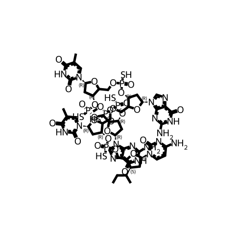 CCC(C)[C@@H]1C[C@H](n2ccc(N)nc2=O)OC1COP(=O)(S)O[C@@H]1C[C@H](n2cc(C)c(=O)[nH]c2=O)OC1COP(=O)(S)O[C@@H]1C[C@H](n2cnc3c(=O)[nH]c(N)nc32)OC1COP(=O)(S)O[C@@H]1C[C@H](n2cc(C)c(=O)[nH]c2=O)OC1COP(=O)(S)O[C@@H]1C[C@H](n2cnc3c(=O)[nH]c(N)nc32)OC1COP(=O)(S)OC